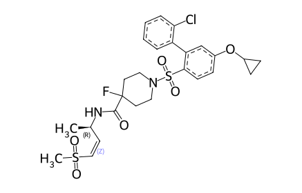 C[C@H](/C=C\S(C)(=O)=O)NC(=O)C1(F)CCN(S(=O)(=O)c2ccc(OC3CC3)cc2-c2ccccc2Cl)CC1